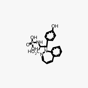 C1=Cc2ccccc2NN=C1.O=C(O)[C@H](Cc1ccc(O)cc1)NP(=O)(O)O